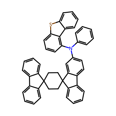 c1ccc(N(c2ccc3c(c2)C2(CCC4(CC2)c2ccccc2-c2ccccc24)c2ccccc2-3)c2cccc3sc4ccccc4c23)cc1